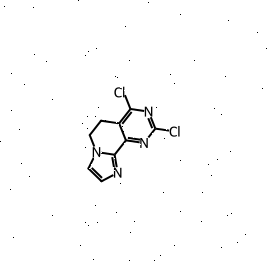 Clc1nc(Cl)c2c(n1)-c1nccn1CC2